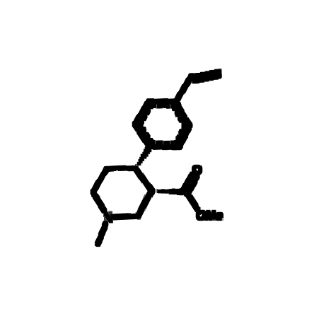 C=Cc1ccc([C@H]2CCN(C)C[C@H]2C(=O)OC)cc1